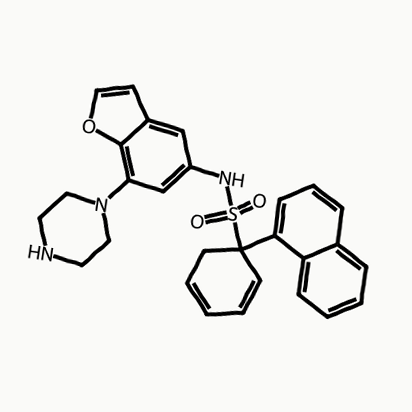 O=S(=O)(Nc1cc(N2CCNCC2)c2occc2c1)C1(c2cccc3ccccc23)C=CC=CC1